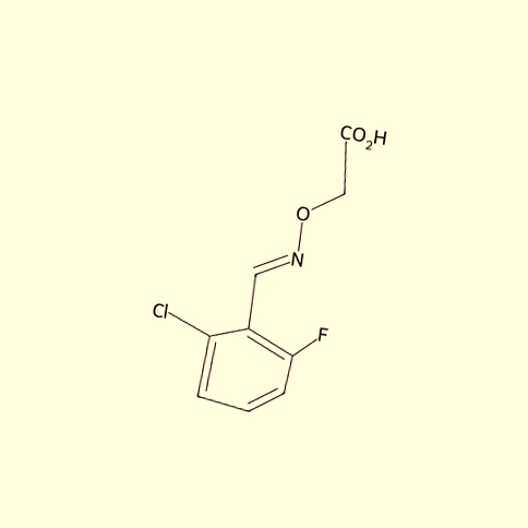 O=C(O)CO/N=C/c1c(F)cccc1Cl